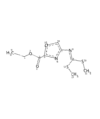 CCOC(=O)c1nc(N=C(SC)SC)co1